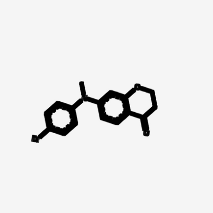 CCc1ccc(N(C)c2ccc3c(c2)OCCC3=O)cc1